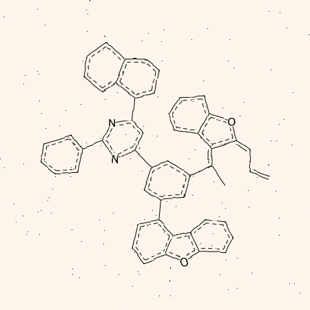 C=C/C=c1/oc2ccccc2/c1=C(/C)c1cc(-c2cc(-c3cccc4ccccc34)nc(-c3ccccc3)n2)cc(-c2cccc3oc4ccccc4c23)c1